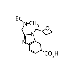 CCN(C)Cc1nc2ccc(C(=O)O)cc2n1C[C@@H]1CCO1